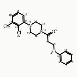 O=C(CCOc1ccccc1)N1CCN(c2cccc(Cl)c2Cl)CC1